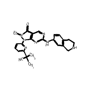 CCn1c(=O)c2cnc(Nc3ccc4c(c3)CNCC4)nc2n1-c1cccc(C(C)(C)C#N)n1